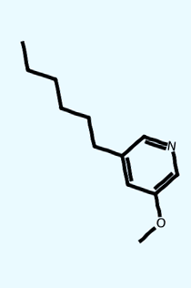 CCCCCCc1cncc(OC)c1